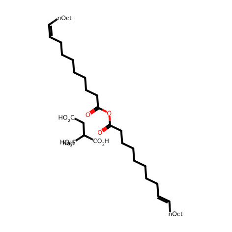 CCCCCCCCC=CCCCCCCCC(=O)OC(=O)CCCCCCC/C=C\CCCCCCCC.O=C(O)CC(C(=O)O)S(=O)(=O)O.[NaH]